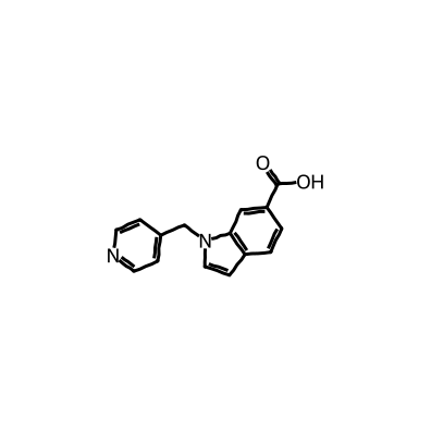 O=C(O)c1ccc2ccn(Cc3ccncc3)c2c1